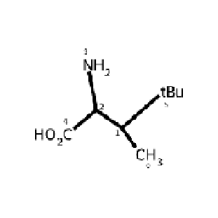 CC(C(N)C(=O)O)C(C)(C)C